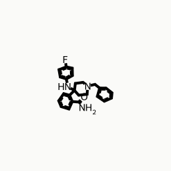 NC(=O)c1ccccc1C1(Nc2ccc(F)cc2)CCN(Cc2ccccc2)CC1